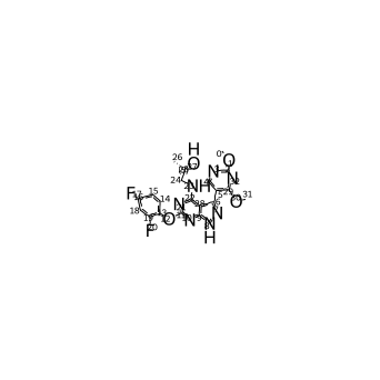 COc1ncc(-c2n[nH]c3nc(Oc4ccc(F)cc4F)nc(NC[C@H](C)O)c23)c(OC)n1